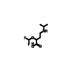 CC(C)NCCC(OC(F)F)C(=O)O